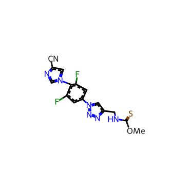 COC(=S)NCc1cn(-c2cc(F)c(-n3cnc(C#N)c3)c(F)c2)nn1